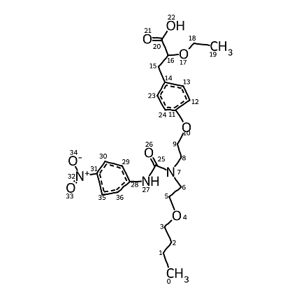 CCCCOCCN(CCOc1ccc(CC(OCC)C(=O)O)cc1)C(=O)Nc1ccc([N+](=O)[O-])cc1